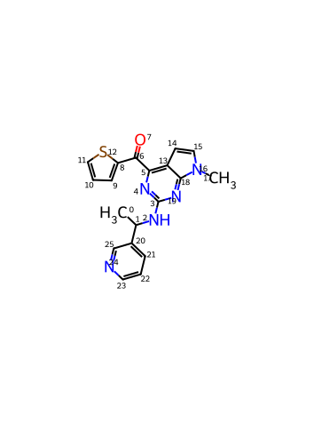 CC(Nc1nc(C(=O)c2cccs2)c2ccn(C)c2n1)c1cccnc1